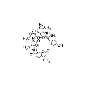 CC(=O)N(C(=O)[C@H](C)NC(=O)[C@@H](NC(=O)[C@@H](N)Cc1ccc(O)cc1)C(C)C)[C@@H](CC(N)=O)C(=O)O.Cc1cc(=O)oc2cc(C(N)=O)ccc12